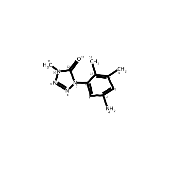 Cc1cc(N)cc(-n2nnn(C)c2=O)c1C